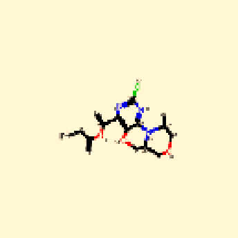 C=C(CC(C)C)OC(=C)c1nc(Cl)nc2c1OCC1COCC(C)N21